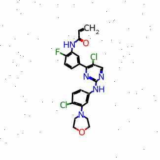 C=CC(=O)Nc1cc(-c2nc(Nc3ccc(Cl)c(N4CCOCC4)c3)ncc2Cl)ccc1F